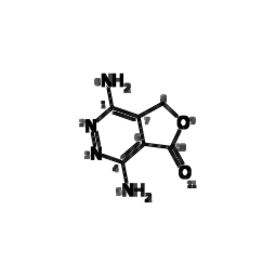 Nc1nnc(N)c2c1COC2=O